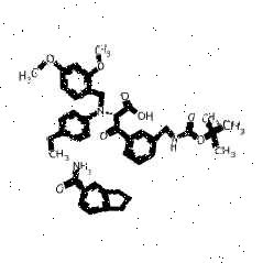 CCc1ccc(N(Cc2ccc(OC)cc2OC)[C@H](C(=O)O)C(=O)c2cccc(CNC(=O)OC(C)(C)C)c2)cc1.NC(=O)c1ccc2c(c1)CCC2